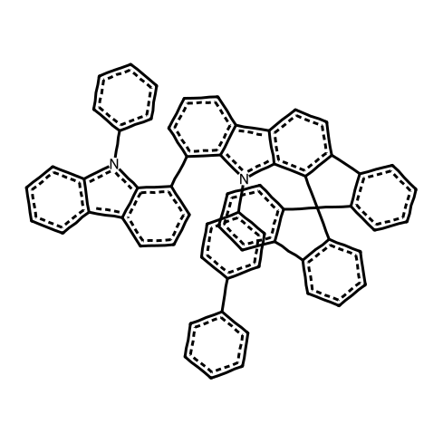 c1ccc(-c2ccc(-n3c4c(-c5cccc6c7ccccc7n(-c7ccccc7)c56)cccc4c4ccc5c(c43)C3(c4ccccc4-c4ccccc43)c3ccccc3-5)cc2)cc1